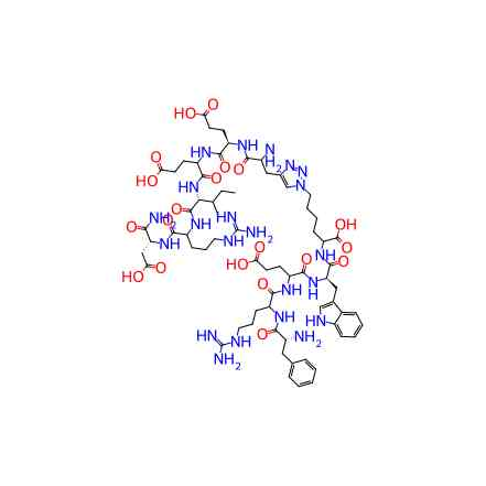 CCC(C)[C@@H](NC(=O)C(CCC(=O)O)NC(=O)[C@@H](CCC(=O)O)NC(=O)C(N)Cc1cn(CCCCC(NC(=O)[C@@H](Cc2c[nH]c3ccccc23)NC(=O)C(CCC(=O)O)NC(=O)C(CCCNC(=N)N)NC(=O)[C@H](N)Cc2ccccc2)C(=O)O)nn1)C(=O)NC(CCCNC(=N)N)C(=O)N[C@H](CC(=O)O)C(N)=O